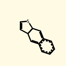 C1=CC2C=c3ccccc3=CC2S1